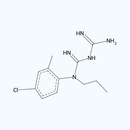 CCCN(C(=N)NC(=N)N)c1ccc(Cl)cc1C